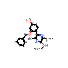 CCCCCNc1nc(C)c(-c2ccc(O)cc2OCc2ccccc2)nc1OC